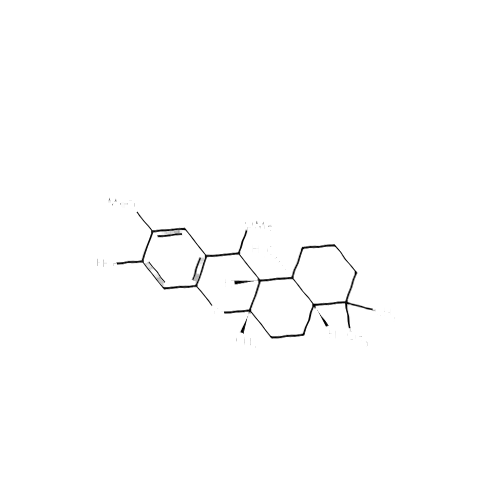 COc1cc2c(cc1O)O[C@@]1(C)CC[C@H]3C(C)(C)CCC[C@]3(C)[C@H]1C2OC